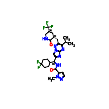 CC(C)c1nc2nc([C@@H](NC(=O)c3ccnn3C)C3CCC(F)(F)CC3)cn2nc1C[C@H]1C[C@@H](C(F)(F)F)CNC1=O